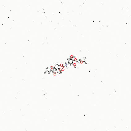 COc1cc(/C=C/C(=O)OC2CC[C@]3(CO3)[C@@H](C3(C)OC3CC=C(C)C)[C@@H]2OC)cc(OC)c1OCCOC(C)C